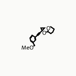 COCc1cccc(C#CC2(OC3CCCCO3)CC2)c1